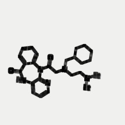 CCN(CC)CCN(CC(=O)N1c2ccccc2C(=O)Nc2cccnc21)CC1CCCCC1